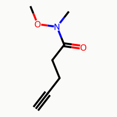 C#CCCC(=O)N(C)OC